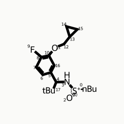 CCCC[S@+]([O-])NC(c1ccc(F)c(OCC2CC2)c1)C(C)(C)C